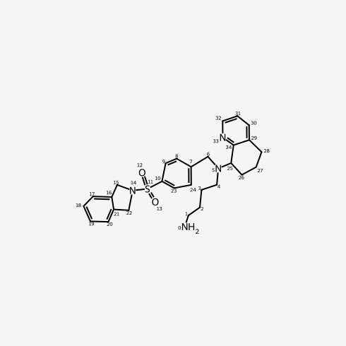 NCCCCN(Cc1ccc(S(=O)(=O)N2Cc3ccccc3C2)cc1)C1CCCc2cccnc21